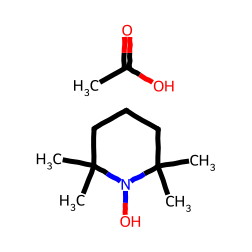 CC(=O)O.CC1(C)CCCC(C)(C)N1O